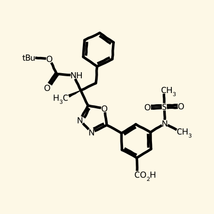 CN(c1cc(C(=O)O)cc(-c2nnc([C@@](C)(Cc3ccccc3)NC(=O)OC(C)(C)C)o2)c1)S(C)(=O)=O